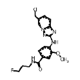 COc1cc(C(=O)NCCCF)ccc1Nc1nc2ccc(CCl)cn2n1